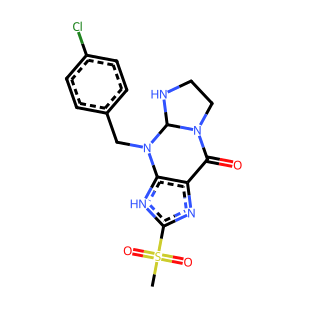 CS(=O)(=O)c1nc2c([nH]1)N(Cc1ccc(Cl)cc1)C1NCCN1C2=O